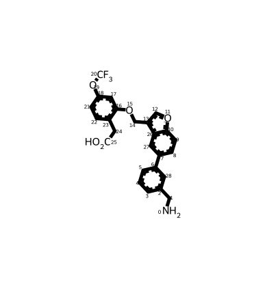 NCc1cccc(-c2ccc3occ(COc4cc(OC(F)(F)F)ccc4CC(=O)O)c3c2)c1